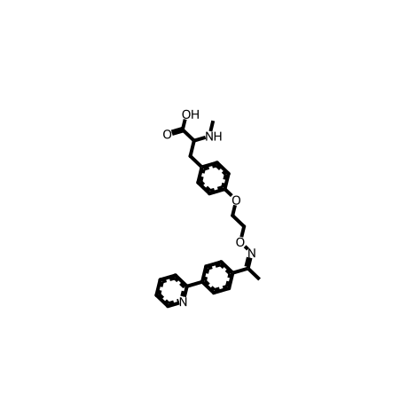 CNC(Cc1ccc(OCCO/N=C(/C)c2ccc(-c3ccccn3)cc2)cc1)C(=O)O